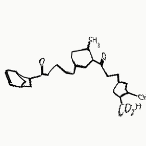 CC1CC(CCC(=O)C2CC(CCCC(=O)C3CC4C=CC3C4)CC2C)CC1C(=O)O